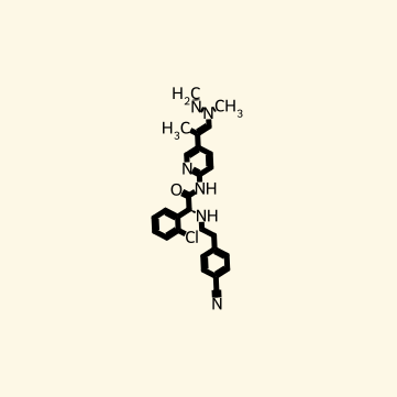 C=NN(C)/C=C(\C)c1ccc(NC(=O)[C@H](NCCc2ccc(C#N)cc2)c2ccccc2Cl)nc1